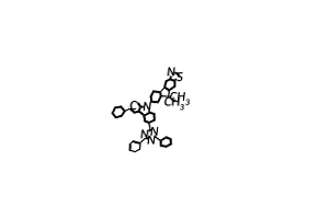 CC1(C)c2cc(-n3c4ccc(-c5ccccc5)cc4c4cc(-c5nc(C6=CC=CCC6)nc(-c6ccccc6)n5)ccc43)ccc2-c2cc3ncsc3cc21